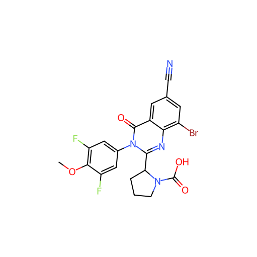 COc1c(F)cc(-n2c(C3CCCN3C(=O)O)nc3c(Br)cc(C#N)cc3c2=O)cc1F